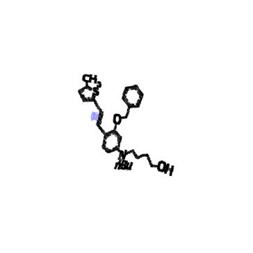 CCCCN(CCCCO)c1ccc(/C=C/c2ccc(C)s2)c(OCc2ccccc2)c1